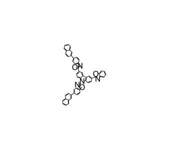 c1ccc2cc(-c3ccc4oc(-n5c6ccc(-c7nc8ccccc8o7)cc6c6cc(-c7nc8ccc(-c9ccc%10ccccc%10c9)cc8o7)ccc65)nc4c3)ccc2c1